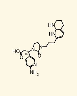 Nc1ccc([C@H](CC(=O)O)N2CCN(CCCC3=CC=C4CCCNC4N3)C2=O)cn1